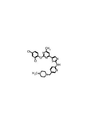 Cc1cc(-c2cnc(Nc3ccc(CN4CCN(C)CC4)cn3)s2)nc(Oc2ccc(Cl)cc2Cl)n1